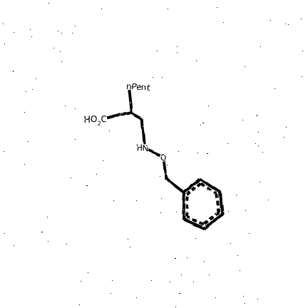 CCCCCC(CNOCc1ccccc1)C(=O)O